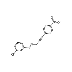 O=[N+]([O-])c1ccc(C#CCN=Cc2cccc(Cl)c2)cc1